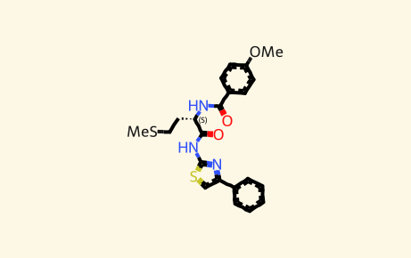 COc1ccc(C(=O)N[C@@H](CCSC)C(=O)Nc2nc(-c3ccccc3)cs2)cc1